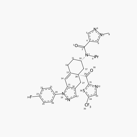 CC(C)N(C(=O)c1cnn(C)c1)[C@H]1CCC2=Cc3c(cnn3-c3ccc(F)cc3)C[C@]2(C(=O)c2ncc(C(F)(F)F)s2)C1